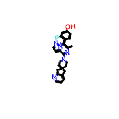 Cc1nc(N2CCC3(CC2)Cc2cccnc2C3)c2ccnn2c1-c1ccc(O)cc1F